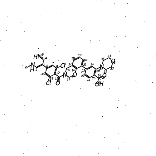 CN/C=C(\C=N)c1cc(Cl)c(C(=O)N2COc3c(cccc3-c3ccc(C(=O)O)c(N4CCOCC4)c3)C2)c(Cl)c1